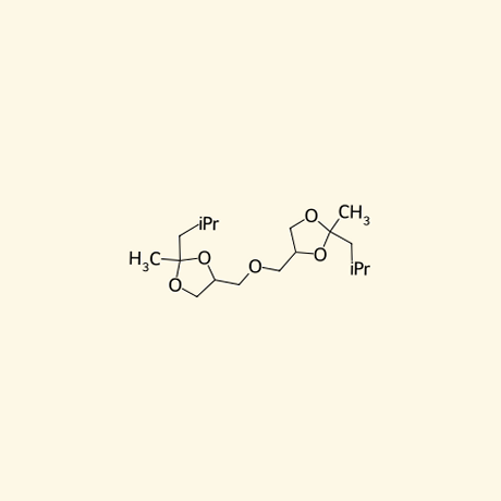 CC(C)CC1(C)OCC(COCC2COC(C)(CC(C)C)O2)O1